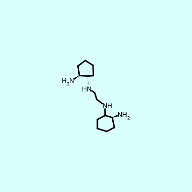 N[C@H]1CCCCC1NCCN[C@H]1CCCC[C@@H]1N